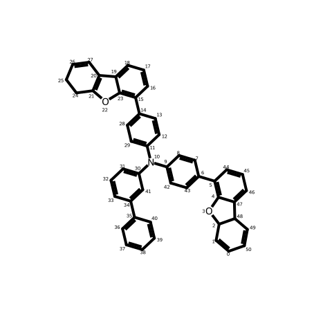 C1=CC2Oc3c(-c4ccc(N(c5ccc(-c6cccc7c8c(oc67)CCC=C8)cc5)c5cccc(-c6ccccc6)c5)cc4)cccc3C2C=C1